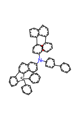 c1ccc(-c2ccc(N(c3ccc(-c4cccc5cccc(-c6ccccc6)c45)cc3)c3ccc4c5c(ccc4c3)-c3ccccc3[Si]5(c3ccccc3)c3ccccc3)cc2)cc1